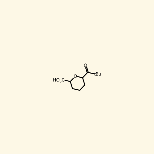 CC(C)(C)C(=O)C1CCCC(C(=O)O)O1